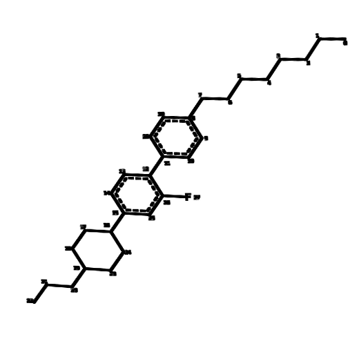 CCCCCCCCc1ccc(-c2ccc(C3CCC(CCC)CC3)cc2F)cc1